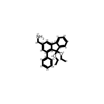 CCOC1(OCC)c2ccccc2-c2cc(CN)cc(-c3ccccc3)c21